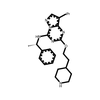 CC(C)c1cnn2c(N[C@@H](C)c3ccccc3)nc(OCCC3CCNCC3)nc12